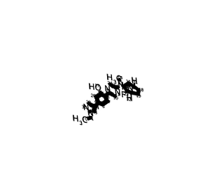 CCn1cc(-c2ccc(-c3cnc(N(C)[C@H]4C[C@@H]5CC[C@@H](N5)[C@H]4F)cn3)c(O)c2)cn1